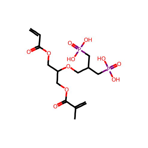 C=CC(=O)OCC(COC(=O)C(=C)C)OCC(CP(=O)(O)O)CP(=O)(O)O